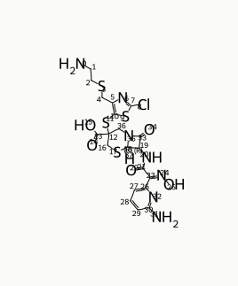 NCCSCc1nc(Cl)sc1SC1(C(=O)O)CS[C@@H]2[C@H](NC(=O)C(=NO)c3cccc(N)n3)C(=O)N2C1